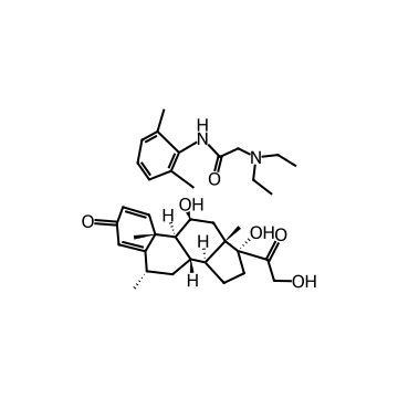 CCN(CC)CC(=O)Nc1c(C)cccc1C.C[C@H]1C[C@@H]2[C@H]([C@@H](O)C[C@@]3(C)[C@H]2CC[C@]3(O)C(=O)CO)[C@@]2(C)C=CC(=O)C=C12